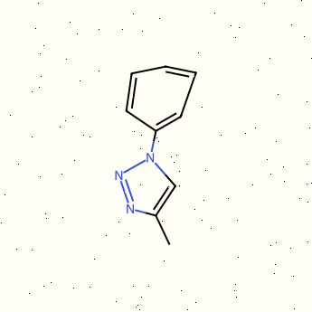 Cc1[c]n(-c2ccccc2)nn1